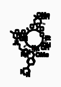 CC[C@H]1OC(=O)[C@H](C)[C@@H](O[C@H]2C[C@@](C)(OC)[C@@H](O)[C@H](C)O2)[C@H](C)[C@@H](O[C@@H]2O[C@H](C)C[C@H](N(C)CCc3cn([C@H](CF)[C@H](OC)c4ccc(-c5cncnc5)cc4)nn3)[C@H]2O)[C@](C)(O)C[C@@H](C)CN(C)[C@H](C)[C@@H](O)[C@]1(C)O